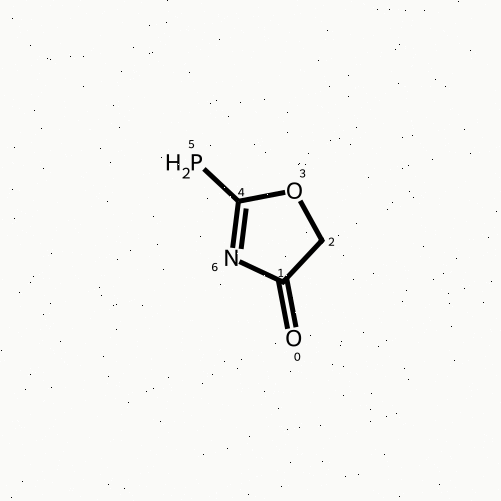 O=C1COC(P)=N1